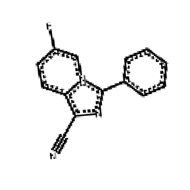 N#Cc1nc(-c2ccccc2)n2cc(F)ccc12